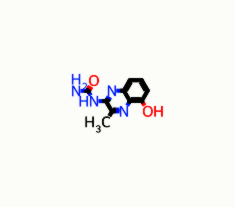 Cc1nc2c(O)cccc2nc1NC(N)=O